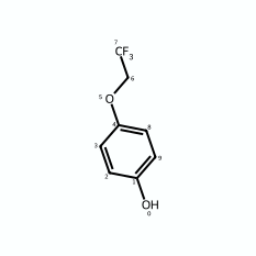 Oc1ccc(OCC(F)(F)F)cc1